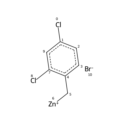 Clc1ccc([CH2][Zn+])c(Cl)c1.[Br-]